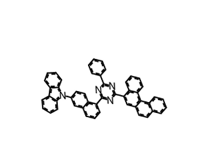 c1ccc(-c2nc(-c3cccc4cc(-n5c6ccccc6c6ccccc65)ccc34)nc(-c3cc4ccc5ccccc5c4c4ccccc34)n2)cc1